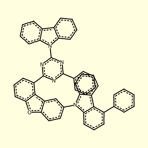 c1ccc(-c2nc(-c3cccc4oc5ccc(-n6c7ccccc7c7c(-c8ccccc8)cccc76)cc5c34)nc(-n3c4ccccc4c4ccccc43)n2)cc1